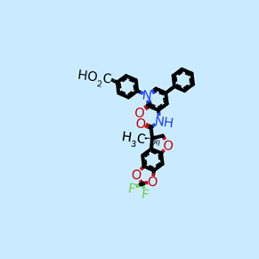 C[C@]1(C(=O)Nc2cc(-c3ccccc3)cn(-c3ccc(C(=O)O)cc3)c2=O)COc2cc3c(cc21)OC(F)(F)O3